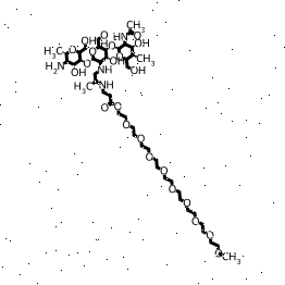 COCCOCCOCCOCCOCCOCCOCCOCCOCCOC(=O)CCNC(C)CNC1[C@H](O[C@@H]2C(CO)O[C@@H](C)C(N)[C@H]2O)OC(CO)[C@@H](O[C@@H]2OC(CO)[C@H](C)[C@H](O)C2NC(C)=O)[C@@H]1O